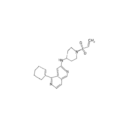 C=CS(=O)(=O)N1CCC(Nc2cc3c(C4=CCCCC4)nccc3cn2)CC1